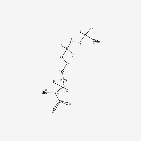 COC(C)(C)COC(C)(C)CCOPC(C)(C)C([SH](=O)=O)C(C)(C)C